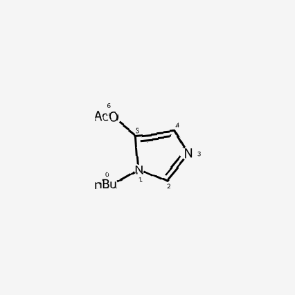 CCCCn1cncc1OC(C)=O